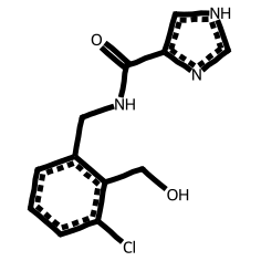 O=C(NCc1cccc(Cl)c1CO)c1c[nH]cn1